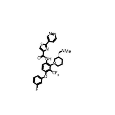 CNC[C@@H]1CCCN(c2c(NC(=O)c3csc(-c4ccnnc4)n3)ccc(Oc3cccc(F)c3)c2C(F)(F)F)C1